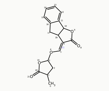 CC1CC(O/C=C2/C(=O)OC3c4ccccc4CC23)OC1=O